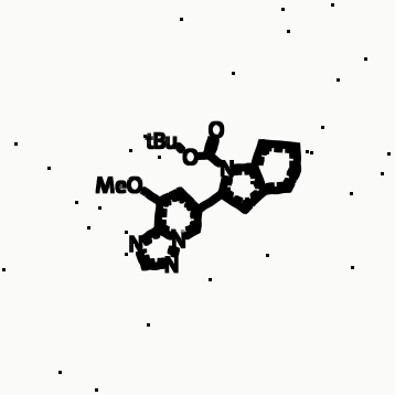 COc1cc(-c2cc3ccccc3n2C(=O)OC(C)(C)C)cn2ncnc12